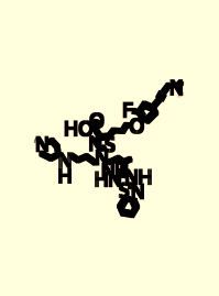 C/C(=C/C(=N)N(CCCCNC1CCN(C)CC1)c1nc(C(=O)O)c(CCCOc2ccc(C#CCN(C)C)cc2F)s1)C(=N)Nc1nc2ccccc2s1